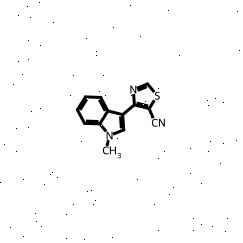 Cn1cc(-c2ncsc2C#N)c2ccccc21